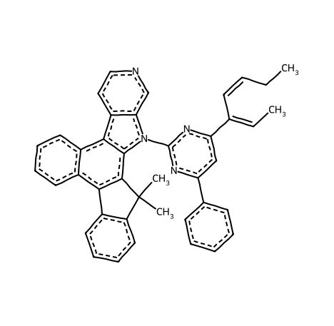 C/C=C(\C=C/CC)c1cc(-c2ccccc2)nc(-n2c3cnccc3c3c4ccccc4c4c(c32)C(C)(C)c2ccccc2-4)n1